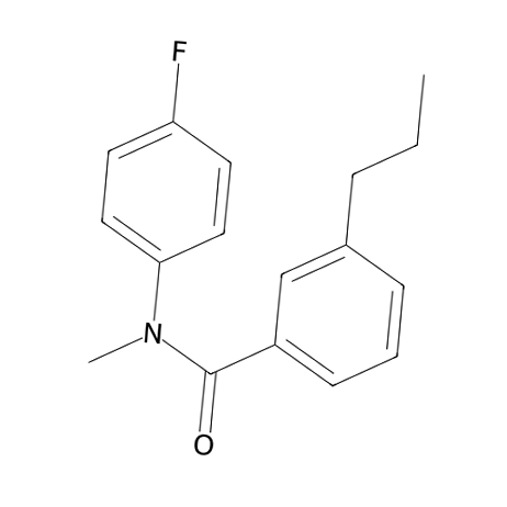 CCCc1cccc(C(=O)N(C)c2ccc(F)cc2)c1